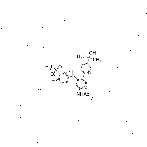 CC(=O)Nc1cc(Nc2ccc(F)c(S(C)(=O)=O)n2)c(-c2ccc(C(C)(C)O)cn2)cn1